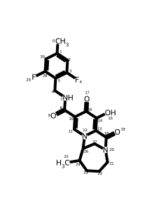 Cc1cc(F)c(CNC(=O)c2cn3c(c(O)c2=O)C(=O)N2CCCC(C)C3C2)c(F)c1